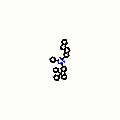 c1ccc(-c2nc(-c3ccc4c(c3)C(c3ccccc3)(c3ccccc3)c3ccccc3-4)nc(-c3ccc4ccc5c6ccccc6ccc5c4c3)n2)cc1